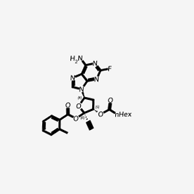 C#C[C@]1(OC(=O)c2ccccc2C)O[C@@H](n2cnc3c(N)nc(F)nc32)C[C@@H]1OC(=O)CCCCCC